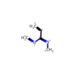 C=C/C(N=C)=N/C